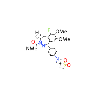 CNC(=O)N1N=C(c2ccc(N3CC4(CCS4(=O)=O)C3)cc2)c2cc(OC)c(OC)c(F)c2CC1C